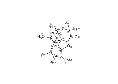 [2H]c1c([2H])c(OC)c2c3c1C[C@@]1([2H])N(C)CC[C@@]34C(O2)C(=O)C([2H])([2H])C[C@]41O